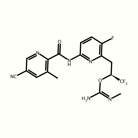 C/N=C(/N)O[C@@H](Cc1nc(NC(=O)c2ncc(C#N)cc2C)ccc1F)C(F)(F)F